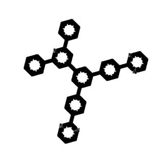 c1ccc(-c2cc(-c3cc(-c4ccc(-c5ncccn5)cc4)cc(-c4ccc(-c5ncccn5)cc4)c3)cc(-c3ccccc3)n2)cc1